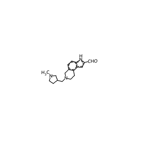 CN1CCC(CN2CCc3c(ccc4[nH]c(C=O)cc34)C2)C1